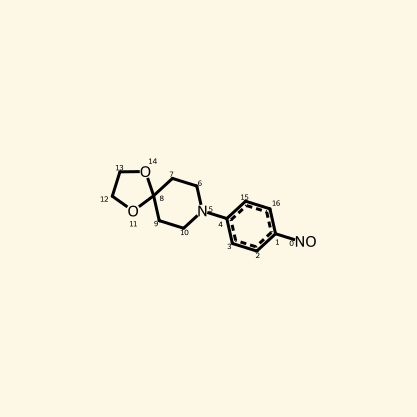 O=Nc1ccc(N2CCC3(CC2)OCCO3)cc1